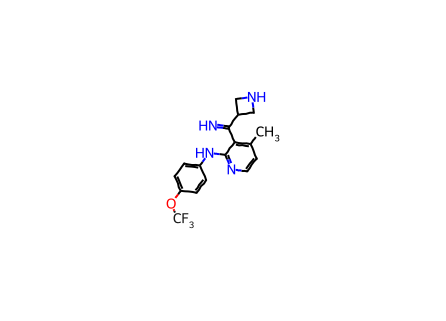 Cc1ccnc(Nc2ccc(OC(F)(F)F)cc2)c1C(=N)C1CNC1